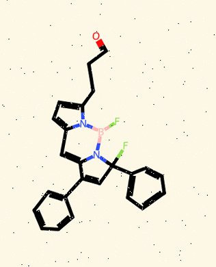 O=[C]CCc1ccc2n1B(F)N1C(=C2)C(c2ccccc2)=CC1(F)c1ccccc1